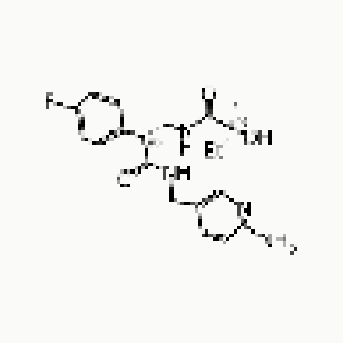 CC[C@](C)(O)C(=O)NC[C@H](C(=O)NCc1ccc(N)nc1)c1ccc(F)cc1